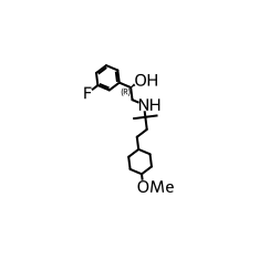 COC1CCC(CCC(C)(C)NC[C@H](O)c2cccc(F)c2)CC1